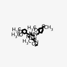 COc1ccc(CNc2nc(-c3ncco3)c(C)n3nc(C4CCCC(OC)(OC)C4)nc23)c(OC)c1